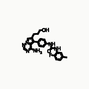 Cc1ccc(F)c(NC(=O)Nc2ccc(-c3c(CCCO)cn4ncnc(N)c34)cc2)c1